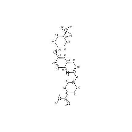 COC(=O)C1CCN(Cc2ccc3cc(O[C@H]4CC[C@H](C(C)(C)C)CC4)ccc3n2)CC1